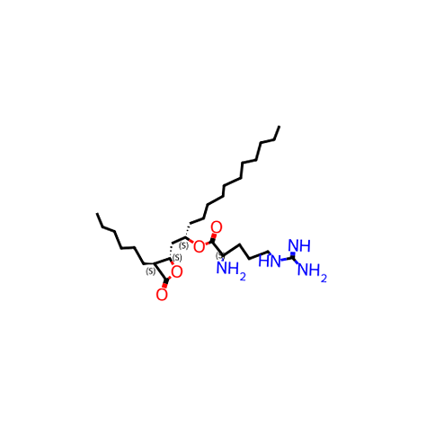 CCCCCCCCCCC[C@@H](C[C@@H]1OC(=O)[C@H]1CCCCCC)OC(=O)[C@@H](N)CCCNC(=N)N